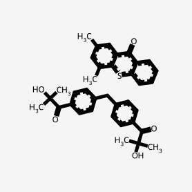 CC(C)(O)C(=O)c1ccc(Cc2ccc(C(=O)C(C)(C)O)cc2)cc1.Cc1cc(C)c2sc3ccccc3c(=O)c2c1